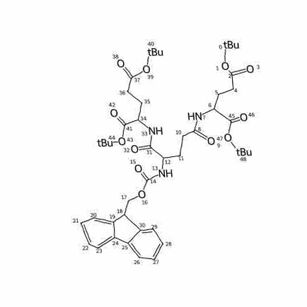 CC(C)(C)OC(=O)CCC(NC(=O)CCC(NC(=O)OCC1c2ccccc2-c2ccccc21)C(=O)NC(CCC(=O)OC(C)(C)C)C(=O)OC(C)(C)C)C(=O)OC(C)(C)C